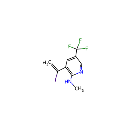 C=C(I)c1cc(C(F)(F)F)cnc1NC